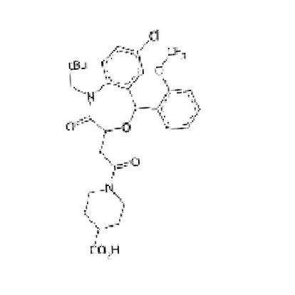 CC(C)(C)CN1C(=O)C(CC(=O)N2CCC(C(=O)O)CC2)OC(c2ccccc2OC(F)(F)F)c2cc(Cl)ccc21